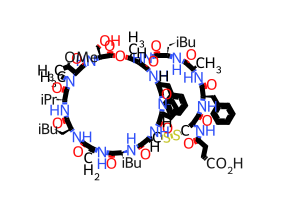 C=C1NC(=O)[C@H]([C@@H](C)CC)NC(=O)[C@H]2CSSC[C@H](NC(=O)CCC(=O)O)C(=O)N[C@H](Cc3ccccc3)C(=O)N[C@H](C)C(=O)N[C@@H](C[C@@H](C)CC)C(=O)N[C@@H](C(=O)N[C@H](Cc3ccccc3)C(=O)N3CCC[C@H]3C(=O)N2)[C@@H](C)OC(=O)[C@H](CO)NC(=O)[C@H]([C@@H](C)OC)N(C)C(=O)[C@@H](C(C)C)NC(=O)[C@H](C[C@H](C)CC)NC1=O